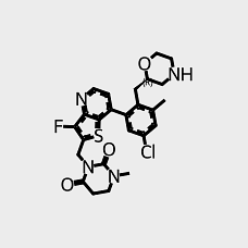 Cc1cc(Cl)cc(-c2ccnc3c(F)c(CN4C(=O)CCN(C)C4=O)sc23)c1C[C@@H]1CNCCO1